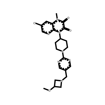 COC1CN(Cc2cnc(N3CCC(n4c(=O)c(=O)n(C)c5cc(Cl)cnc54)CC3)nc2)C1